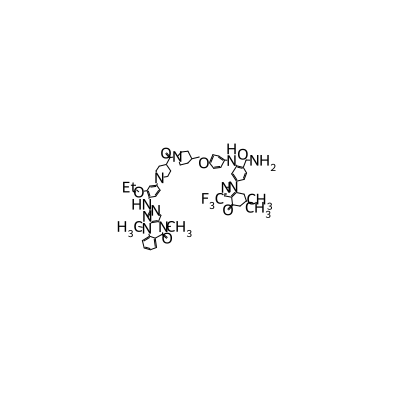 CCOc1cc(N2CCC(C(=O)N3CCC(COc4ccc(Nc5cc(-n6nc(C(F)(F)F)c7c6CC(C)(C)CC7=O)ccc5C(N)=O)cc4)CC3)CC2)ccc1Nc1ncc2c(n1)N(C)c1ccccc1C(=O)N2C